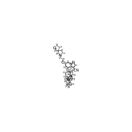 N#Cc1cnn2cc(OCCN3CCC4(CCOC4)C3)cc(-c3ccc(N4CC5CC(C4)N5C(=O)NC4CCCC4)nc3)c12